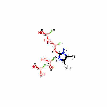 CCc1[nH]c(OB(O)F)nc1C.OB(O)F.OB(O)F.OB(O)F